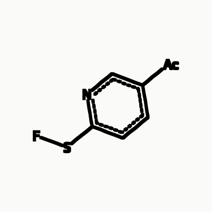 CC(=O)c1ccc(SF)nc1